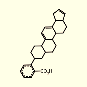 O=C(O)c1ccccc1C1CCC2C3=CC=C4C5CC=CC5CCC4C3CCC2C1